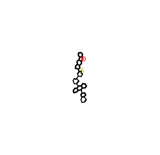 C1=Cc2ccc(-c3c4ccccc4c(C4=CC(C5C=c6c(sc7c6ccc6cc8c(cc67)oc6ccccc68)=CC5)=CCC4)c4ccccc34)cc2CC1